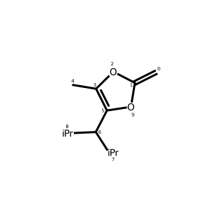 C=C1OC(C)=C(C(C(C)C)C(C)C)O1